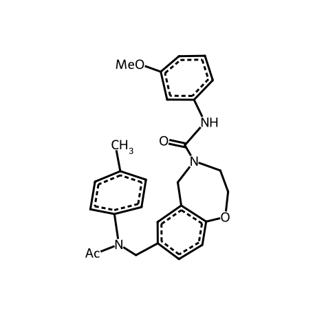 COc1cccc(NC(=O)N2CCOc3ccc(CN(C(C)=O)c4ccc(C)cc4)cc3C2)c1